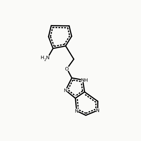 Nc1ccccc1COc1nc2ncncc2[nH]1